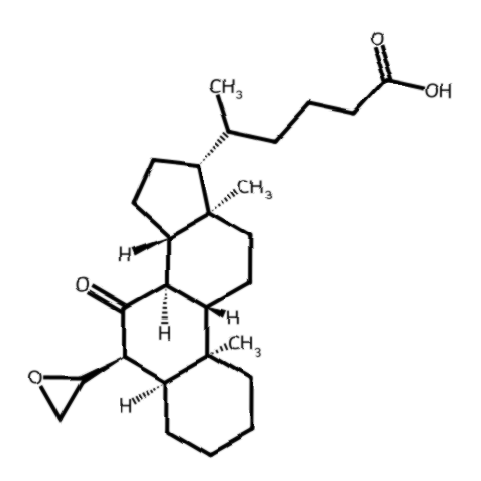 CC(CCCC(=O)O)[C@H]1CC[C@H]2[C@@H]3C(=O)[C@H](C4CO4)[C@@H]4CCCC[C@]4(C)[C@H]3CC[C@]12C